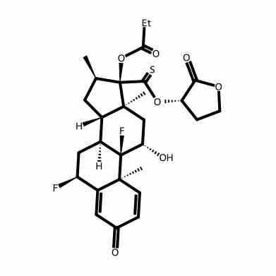 CCC(=O)O[C@]1(C(=S)O[C@H]2CCOC2=O)[C@H](C)C[C@H]2[C@@H]3C[C@H](F)C4=CC(=O)C=C[C@]4(C)[C@@]3(F)[C@@H](O)C[C@@]21C